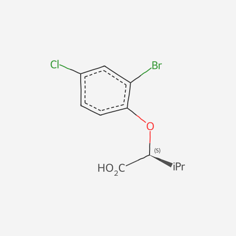 CC(C)[C@H](Oc1ccc(Cl)cc1Br)C(=O)O